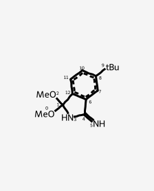 COC1(OC)NC(=N)c2cc(C(C)(C)C)ccc21